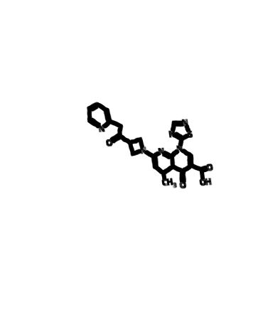 CC1C=C(N2CC(C(=O)Cc3ccccn3)C2)N=C2C1C(=O)C(C(=O)O)=CN2c1ncns1